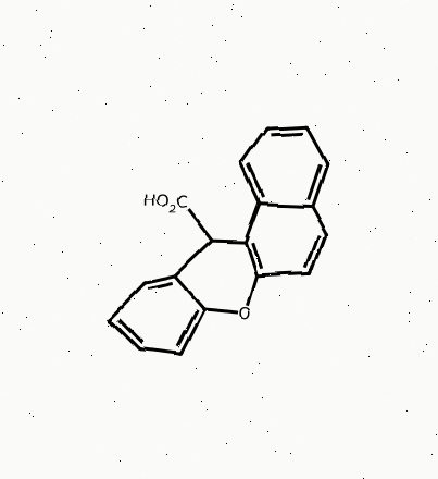 O=C(O)C1c2ccccc2Oc2ccc3ccccc3c21